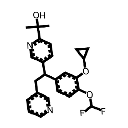 CC(C)(O)c1ccc(C(Cc2cccnc2)c2ccc(OC(F)F)c(OC3CC3)c2)cn1